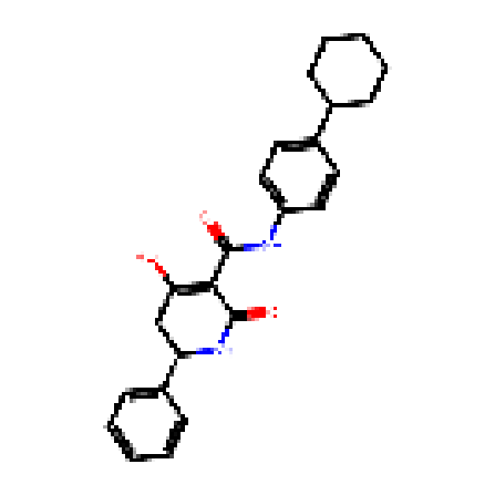 O=C(Nc1ccc(C2CCCCC2)cc1)C1=C(O)C[C@H](c2ccccc2)NC1=O